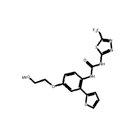 COCCOc1ccc(NC(=O)Nc2nnc(C(F)(F)F)s2)c(-c2ccco2)c1